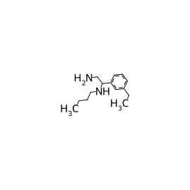 CCCCNC(CN)c1cccc(CC)c1